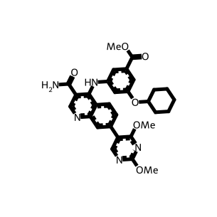 COC(=O)c1cc(Nc2c(C(N)=O)cnc3cc(-c4cnc(OC)nc4OC)ccc23)cc(OC2CCCCC2)c1